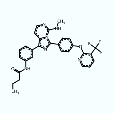 CCCC(=O)Nc1cccc(-c2nc(-c3ccc(Oc4ncccc4C(F)(F)F)cc3)n3c(NC)nccc23)c1